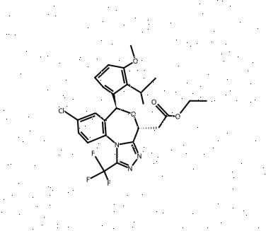 CCOC(=O)C[C@H]1O[C@H](c2cccc(OC)c2C(C)C)c2cc(Cl)ccc2-n2c1nnc2C(F)(F)F